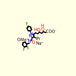 COc1ccc(F)c(F)c1CN(C)C(=O)c1nn(-c2ccc(F)cc2)c(CCC(O)CC(O)CC(=O)[O-])c1C(C)C.[Na+]